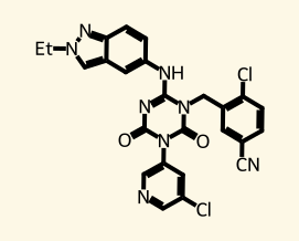 CCn1cc2cc(Nc3nc(=O)n(-c4cncc(Cl)c4)c(=O)n3Cc3cc(C#N)ccc3Cl)ccc2n1